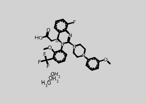 COc1cccc(N2CCN(C3=Nc4c(F)cccc4[C@H](CC(=O)O)N3c3cccc(C(F)(F)F)c3OC)CC2)c1.O.O.O